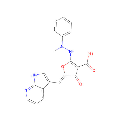 CN(NC1=C(C(=O)O)C(=O)C(=Cc2c[nH]c3ncccc23)O1)c1ccccc1